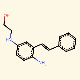 Nc1ccc(NCCO)cc1/C=C/c1ccccc1